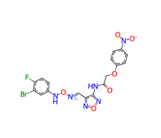 O=C(COc1ccc([N+](=O)[O-])cc1)Nc1nonc1/C=N/ONc1ccc(F)c(Br)c1